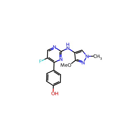 COc1nn(C)cc1Nc1ncc(F)c(-c2ccc(O)cc2)n1